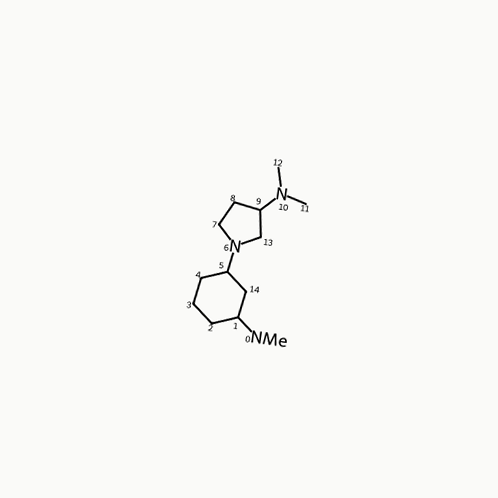 CNC1CCCC(N2CCC(N(C)C)C2)C1